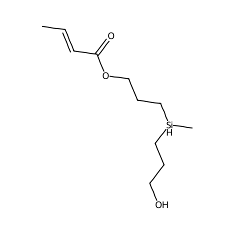 CC=CC(=O)OCCC[SiH](C)CCCO